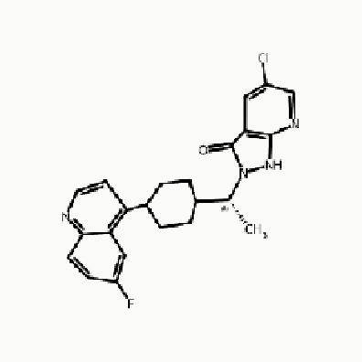 C[C@H](C1CCC(c2ccnc3ccc(F)cc23)CC1)n1[nH]c2ncc(Cl)cc2c1=O